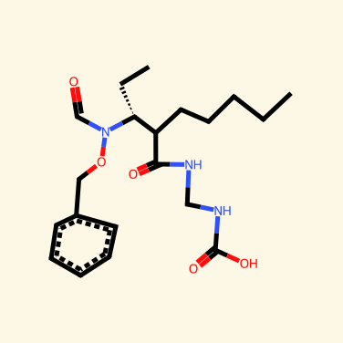 CCCCCC(C(=O)NCNC(=O)O)[C@@H](CC)N(C=O)OCc1ccccc1